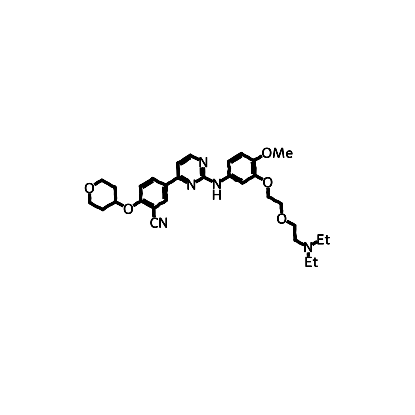 CCN(CC)CCOCCOc1cc(Nc2nccc(-c3ccc(OC4CCOCC4)c(C#N)c3)n2)ccc1OC